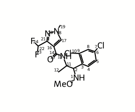 CONC(c1ccc(Cl)cc1Cl)C(C)NC(=O)c1cn(C)nc1C(F)F